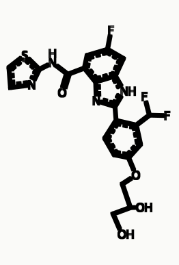 O=C(Nc1nccs1)c1cc(F)cc2[nH]c(-c3ccc(OCC(O)CO)cc3C(F)F)nc12